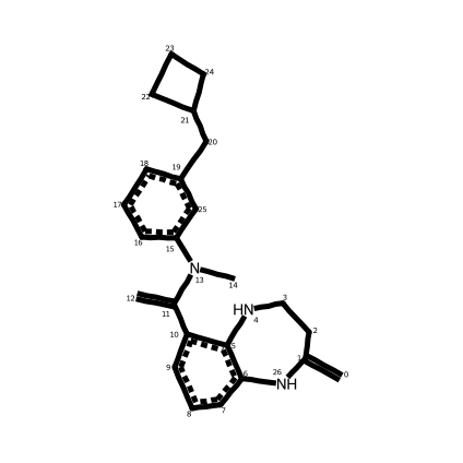 C=C1CCNc2c(cccc2C(=C)N(C)c2cccc(CC3CCC3)c2)N1